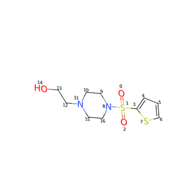 O=S(=O)(c1cccs1)N1CCN(CCO)CC1